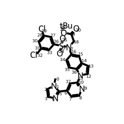 Cn1ccnc1-c1ccnc(-n2ccc3cc(N(CC(=O)OC(C)(C)C)S(=O)(=O)c4cc(Cl)cc(Cl)c4)ccc32)c1